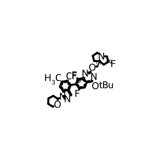 Cc1cc2c(cnn2C2CCCCO2)c(-c2c(F)cc3c(OC(C)(C)C)nc(OC[C@@]45CCCN4C[C@H](F)C5)nc3c2F)c1C(F)(F)F